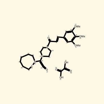 COc1cc(C=CC(=O)N2CCN(C(=C=O)N3CCCCCCC3)CC2)cc(OC)c1OC.O=C(O)C(=O)O